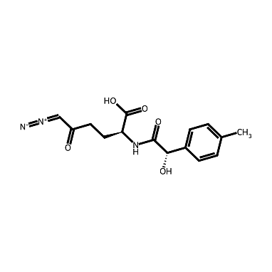 Cc1ccc([C@H](O)C(=O)N[C@@H](CCC(=O)C=[N+]=[N-])C(=O)O)cc1